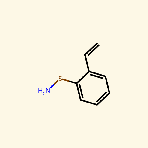 C=Cc1ccccc1SN